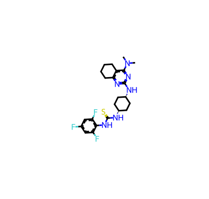 CN(C)c1nc(N[C@H]2CC[C@@H](NC(=S)Nc3c(F)cc(F)cc3F)CC2)nc2c1CCCC2